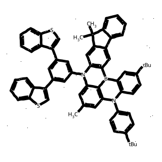 Cc1cc2c3c(c1)N(c1cc(-c4csc5ccccc45)cc(-c4csc5ccccc45)c1)c1cc4c(cc1B3c1cc(C(C)(C)C)ccc1N2c1ccc(C(C)(C)C)cc1)-c1ccccc1C4(C)C